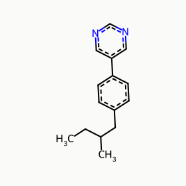 CCC(C)Cc1ccc(-c2cncnc2)cc1